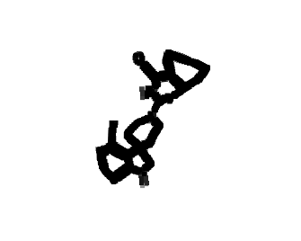 O=c1[nH]c(N2CCC3(CC2)CNc2cccc(F)c23)nc2c1CCCC2